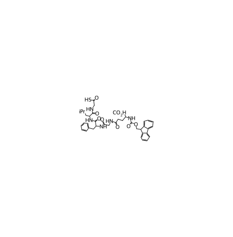 CC(C)CC(NC(=O)C(Cc1ccccc1)NC(=O)CNC(=O)CCC(NC(=O)OCC1c2ccccc2-c2ccccc21)C(=O)O)C(=O)NCC(=O)S